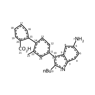 CCCCc1nc2ccc(N)cc2n1-c1ccc(-c2ccccc2C(=O)O)c(C)c1